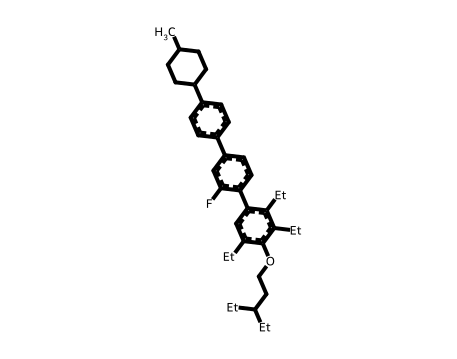 CCc1cc(-c2ccc(-c3ccc(C4CCC(C)CC4)cc3)cc2F)c(CC)c(CC)c1OCCC(CC)CC